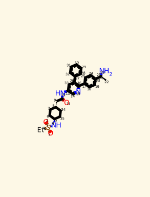 CCS(=O)(=O)N[C@H]1CC[C@H](CC(=O)Nc2cnc(-c3ccc([C@H](C)N)cc3)c(-c3ccccc3)c2)CC1